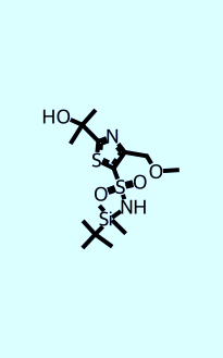 COCc1nc(C(C)(C)O)sc1S(=O)(=O)N[Si](C)(C)C(C)(C)C